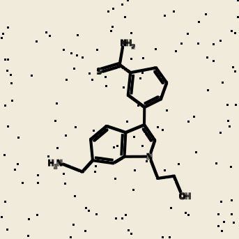 NCc1ccc2c(-c3cccc(C(N)=S)c3)cn(CCO)c2c1